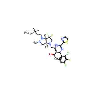 COC(=O)C1=C(CN2CC(F)(F)[C@H]3[C@@H]2CN(C(C)=O)N3CCC(C)(C)C(=O)O)NC(c2nccs2)=NC1c1ccc(F)c(F)c1Cl